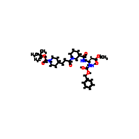 COC(=O)C[C@H](NC(=O)OCc1ccccc1)NC(=O)[C@@H]1CCCN(C(=O)CCC2CCN(C(=O)OC(C)(C)C)CC2)C1